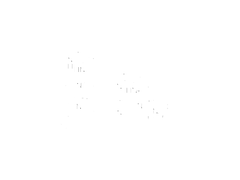 CN[C@@H](C)C(=O)N[C@H](C(=O)N1C[C@@H](NC(=O)c2ccc(CN(C(=O)[C@@H]3C[Si](C)(C)CN3C(=O)[C@@H](NC(=O)[C@H](C)NC)C(C)(C)C)[C@H](C)c3ccccc3F)cc2)C[C@H]1C(=O)N[C@@H]1CCCc2ccccc21)C(C)(C)C